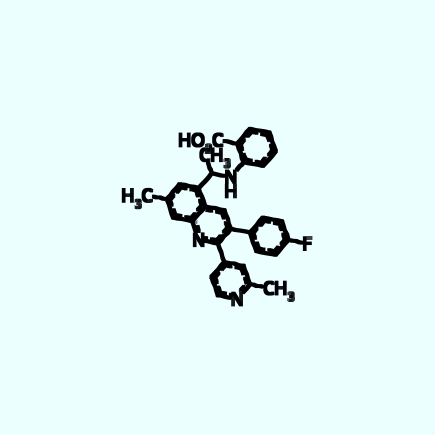 Cc1cc(C(C)Nc2ccccc2C(=O)O)c2cc(-c3ccc(F)cc3)c(-c3ccnc(C)c3)nc2c1